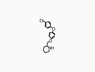 Clc1ccc(Oc2ccc(OCC3CCCCN3)cc2)cc1